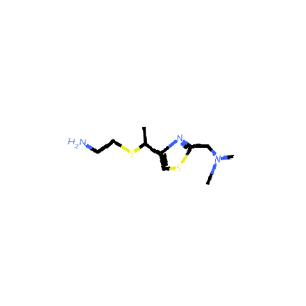 CC(SCCN)c1csc(CN(C)C)n1